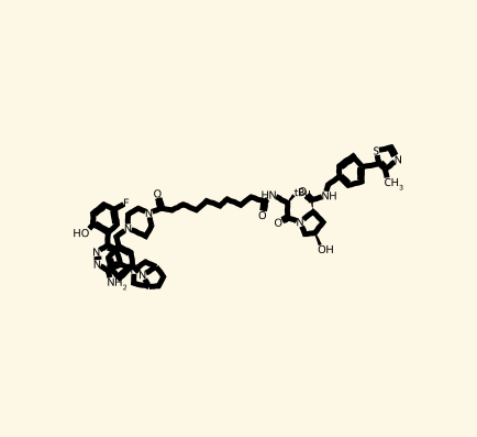 Cc1ncsc1-c1ccc(CNC(=O)[C@@H]2C[C@@H](O)CN2C(=O)[C@@H](NC(=O)CCCCCCCCC(=O)N2CCN(Cc3cccc(N4C5CCC4CN(c4cc(-c6cc(F)ccc6O)nnc4N)C5)c3)CC2)C(C)(C)C)cc1